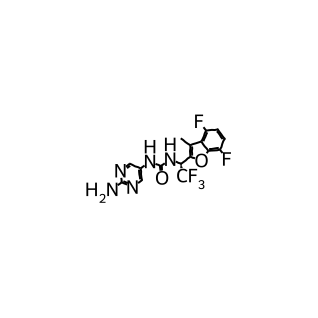 Cc1c([C@H](NC(=O)Nc2cnc(N)nc2)C(F)(F)F)oc2c(F)ccc(F)c12